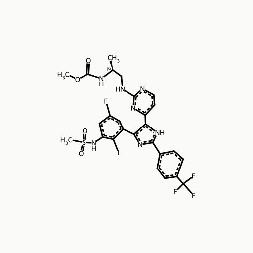 COC(=O)N[C@@H](C)CNc1nccc(-c2[nH]c(-c3ccc(C(F)(F)F)cc3)nc2-c2cc(F)cc(NS(C)(=O)=O)c2I)n1